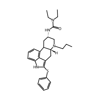 CCCN1C[C@@H](NC(=O)N(CC)CC)CC2c3cccc4[nH]c(Sc5ccccc5)c(c34)C[C@H]21